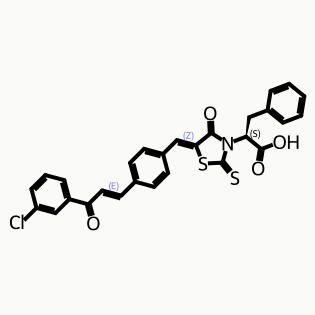 O=C(/C=C/c1ccc(/C=C2\SC(=S)N([C@@H](Cc3ccccc3)C(=O)O)C2=O)cc1)c1cccc(Cl)c1